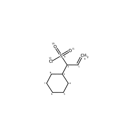 C=CC(C1CCCCC1)S(=O)(=O)Cl